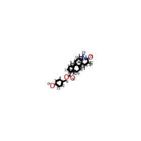 COc1ccc(COC(=O)[C@H]2CC[C@H]3[C@@H]4CC[C@H]5N(C)C(=O)C(F)=C[C@]5(C)[C@H]4CC[C@]23C)cc1